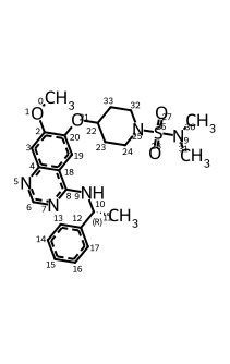 COc1cc2ncnc(N[C@H](C)c3ccccc3)c2cc1OC1CCN(S(=O)(=O)N(C)C)CC1